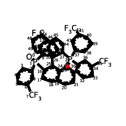 O=P(c1cccc(C(F)(F)F)c1)(c1cccc(C(F)(F)F)c1)c1ccc2ccccc2c1-c1c(P(=O)(c2cccc(C(F)(F)F)c2)c2cccc(C(F)(F)F)c2)ccc2ccccc12